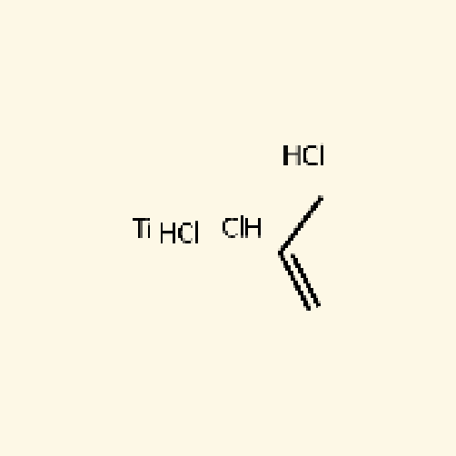 C=CC.Cl.Cl.Cl.[Ti]